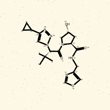 CC(C)(C)[C@@H](C(=O)N1C[C@H](O)C[C@H]1C(=O)NCc1cocn1)n1cc(C2CC2)nn1